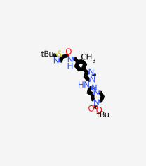 Cc1cc(-c2cc(Nc3cc4n(n3)CCCN(C(=O)OC(C)(C)C)C4)ncn2)ccc1CNC(=O)c1cnc(C(C)(C)C)s1